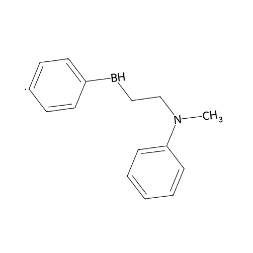 CN(CCBc1cc[c]cc1)c1ccccc1